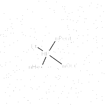 CCCCCCCC[PH](CC)(CCCCC)CCCCCC